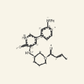 C/C=C/C(=O)N1CCC[C@@H](Nc2cc(-c3ccnc(NC)c3)c[nH]c2=O)C1